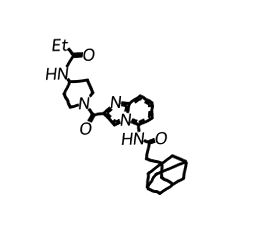 CCC(=O)NC1CCN(C(=O)c2cn3c(NC(=O)CC45CC6CC(CC(C6)C4)C5)cccc3n2)CC1